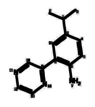 CC(C)c1ccc(N)c(-c2cnccn2)c1